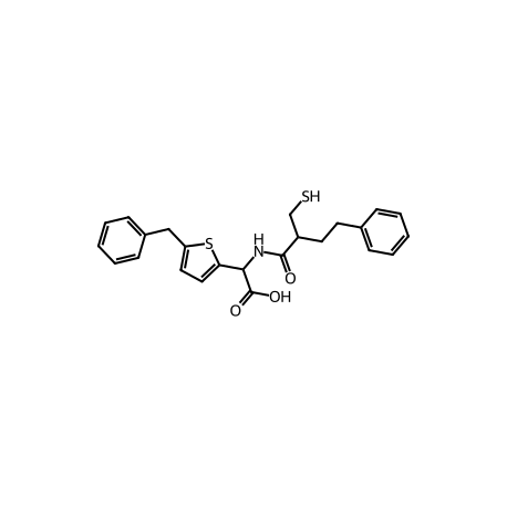 O=C(NC(C(=O)O)c1ccc(Cc2ccccc2)s1)C(CS)CCc1ccccc1